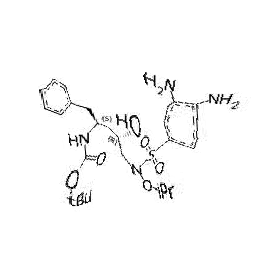 CC(C)ON(C[C@@H](O)[C@H](Cc1ccccc1)NC(=O)OC(C)(C)C)S(=O)(=O)c1ccc(N)c(N)c1